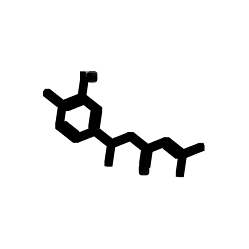 CC(C)=CC(=O)CC(C)c1ccc(C)c(N=O)c1